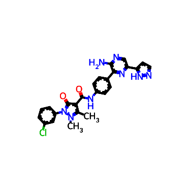 Cc1c(C(=O)Nc2ccc(-c3nc(-c4ccn[nH]4)cnc3N)cc2)c(=O)n(-c2cccc(Cl)c2)n1C